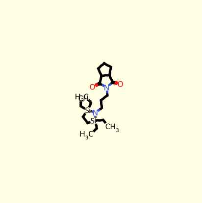 CC[Si]1(CC)CC[Si](CC)(CC)N1CCCN1C(=O)C2CCCC2C1=O